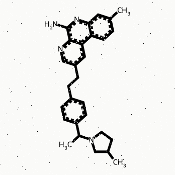 Cc1ccc2c(c1)nc(N)c1ncc(CCc3ccc(C(C)N4CCC(C)C4)cc3)cc12